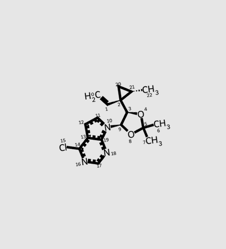 C=C[C@@]1([C@H]2OC(C)(C)O[C@H]2n2ccc3c(Cl)ncnc32)C[C@@H]1C